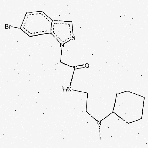 CN(CCNC(=O)Cn1ncc2ccc(Br)cc21)C1CCCCC1